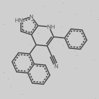 N#CC1=C(c2ccccc2)Nc2n[nH]cc2C1c1cccc2ccccc12